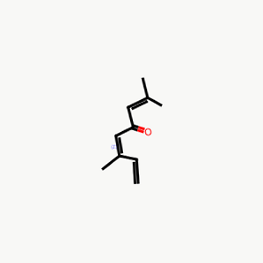 C=C/C(C)=C\C(=O)C=C(C)C